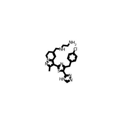 Cc1nn2c(c1-c1nc(Cc3ccc(Cl)cc3)c(-c3nnc[nH]3)s1)C=C(CNCCN)CC2